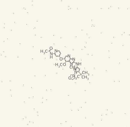 COc1c(Oc2ccnc(NC(C)=O)c2)cnc2nc(Nc3cc(C(C)(C)C)n([C@H]4CCOC4)n3)n(C)c12